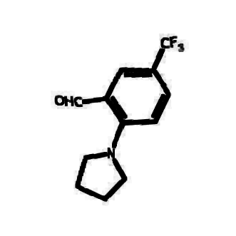 O=Cc1cc(C(F)(F)F)ccc1N1CCCC1